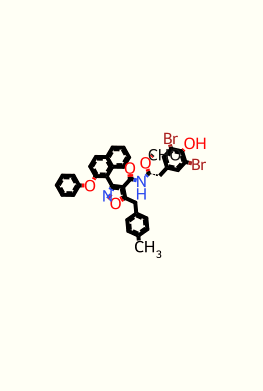 Cc1ccc(Cc2onc(-c3c(Oc4ccccc4)ccc4ccccc34)c2C(=O)N[C@@H](Cc2cc(Br)c(O)c(Br)c2)OC=O)cc1